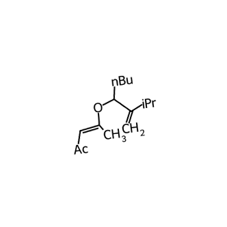 C=C(C(C)C)C(CCCC)O/C(C)=C/C(C)=O